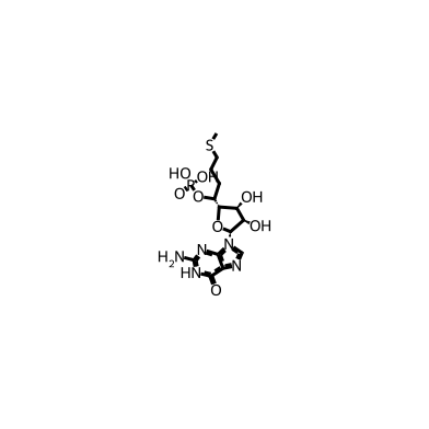 CSCCCC(OP(=O)(O)O)[C@H]1O[C@@H](n2cnc3c(=O)[nH]c(N)nc32)[C@H](O)[C@@H]1O